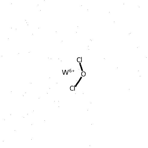 ClOCl.[W+6]